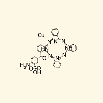 Nc1ccc(C(=O)c2cccc3c4nc5nc(nc6[nH]c(nc7nc(nc([nH]4)c23)-c2ccccc2-7)c2ccccc62)-c2ccccc2-5)cc1S(=O)(=O)O.[Cu]